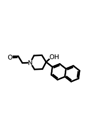 O=CCN1CCC(O)(c2ccc3ccccc3c2)CC1